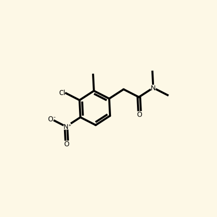 Cc1c(CC(=O)N(C)C)ccc([N+](=O)[O-])c1Cl